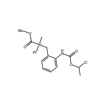 CC(Cl)OC(=O)Nc1ccccc1C[N+](C)(C(=O)OC(C)(C)C)C(C)C